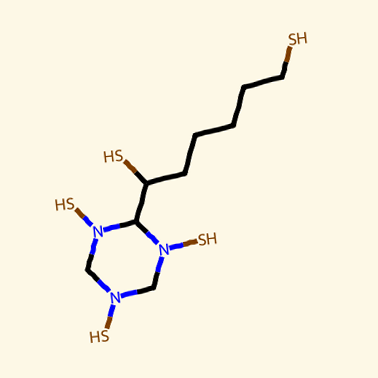 SCCCCCC(S)C1N(S)CN(S)CN1S